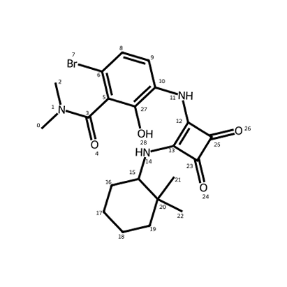 CN(C)C(=O)c1c(Br)ccc(Nc2c(NC3CCCCC3(C)C)c(=O)c2=O)c1O